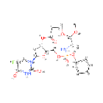 CCC(=O)O[C@H]1C[C@H](n2cc(F)c(=O)[nH]c2=O)O[C@@H]1COP(=O)(N[C@@H](C)C(OC)OC)Oc1ccccc1